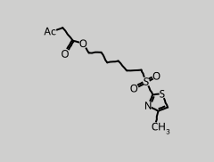 CC(=O)CC(=O)OCCCCCCS(=O)(=O)c1nc(C)cs1